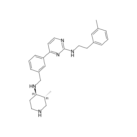 Cc1cccc(CCNc2nccc(-c3cccc(CN[C@@H]4CCNC[C@H]4C)c3)n2)c1